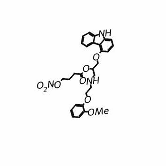 COc1ccccc1OCCNCC(COc1cccc2[nH]c3ccccc3c12)OC(=O)CCCO[N+](=O)[O-]